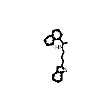 CC(NCCCc1cc2ccccc2s1)c1cccc2ccccc12